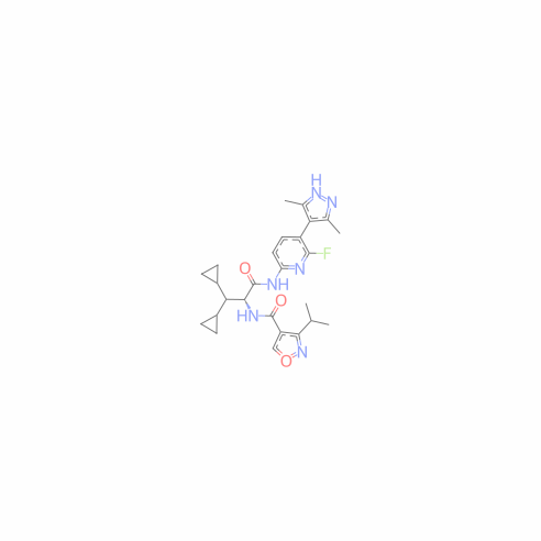 Cc1n[nH]c(C)c1-c1ccc(NC(=O)[C@@H](NC(=O)c2conc2C(C)C)C(C2CC2)C2CC2)nc1F